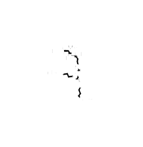 CCCCCCCCCCCCCCOC[C@H](COC(=O)NCCCC(C)(C)OCCC(C)(C)OC)OCCCCCCCCCCCCCC